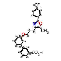 Cc1oc(-c2ccc(C(F)(F)F)cc2)nc1CCCOc1cccc(-c2cccc(C(=O)O)c2)c1